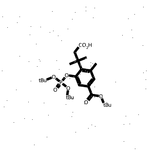 Cc1cc(C(=O)OC(C)(C)C)cc(OP(=O)(OC(C)(C)C)OC(C)(C)C)c1C(C)(C)CC(=O)O